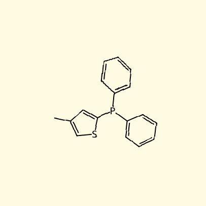 Cc1csc(P(c2ccccc2)c2ccccc2)c1